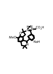 COc1cc2c(c3c1OC(C)(C)C3)C(c1cccc(-c3nnnn3CC(=O)O)c1)=NC(C)(C)C2.[NaH]